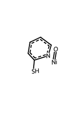 Sc1ccccn1.[O]=[Ni]